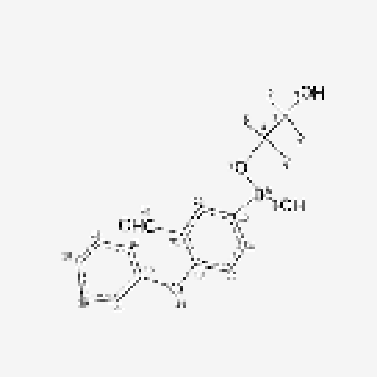 CC(C)(O)C(C)(C)OB(O)c1ccc(Oc2ccccc2)c(C=O)c1